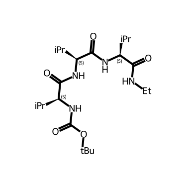 CCNC(=O)[C@@H](NC(=O)[C@@H](NC(=O)[C@@H](NC(=O)OC(C)(C)C)C(C)C)C(C)C)C(C)C